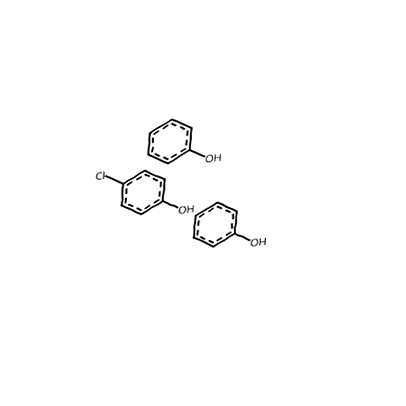 Oc1ccc(Cl)cc1.Oc1ccccc1.Oc1ccccc1